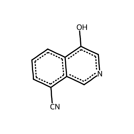 N#Cc1cccc2c(O)cncc12